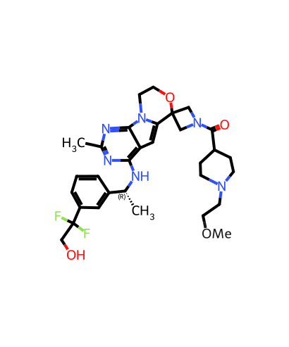 COCCN1CCC(C(=O)N2CC3(C2)OCCn2c3cc3c(N[C@H](C)c4cccc(C(F)(F)CO)c4)nc(C)nc32)CC1